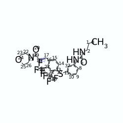 CCCNC(=O)Nc1cccc(Sc2ccc(/C=C/C(=O)N3CCOCC3)c(C(F)(F)F)c2C(F)(F)F)c1